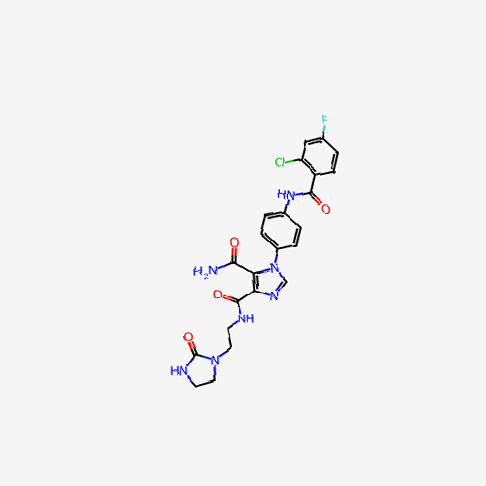 NC(=O)c1c(C(=O)NCCN2CCNC2=O)ncn1-c1ccc(NC(=O)c2ccc(F)cc2Cl)cc1